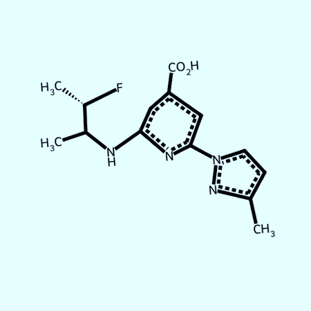 Cc1ccn(-c2cc(C(=O)O)cc(NC(C)[C@H](C)F)n2)n1